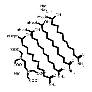 CCCCCCCC(O)CCCCCCCCCC(N)=O.CCCCCCCC(O)CCCCCCCCCC(N)=O.CCCCCCCC(O)CCCCCCCCCC(N)=O.CCCCCCCC(O)CCCCCCCCCC(N)=O.O=C([O-])CN(CCN(CC(=O)[O-])CC(=O)[O-])CC(=O)[O-].[Na+].[Na+].[Na+].[Na+]